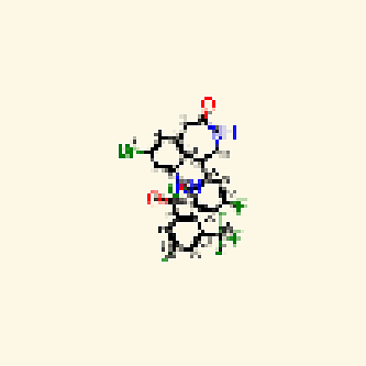 O=C1Cc2cc(Br)cc(NC(=O)c3cc(F)cc(C(F)(F)F)c3)c2C(c2cc(F)ccc2Cl)CN1